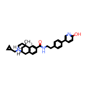 CC1[C@H]2Cc3ccc(C(=O)NCCc4ccc(-c5ccc(O)nc5)cc4)cc3[C@@]1(C)CCN2CC1CC1